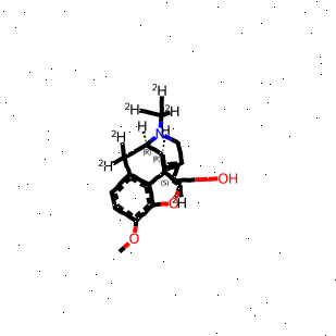 [2H]C1([2H])c2ccc(OC)c3c2[C@]24CCN(C([2H])([2H])[2H])[C@H]1[C@@H]2C=CC(O)C4([2H])O3